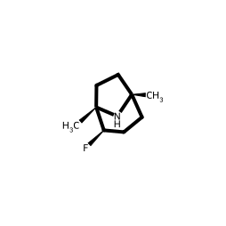 C[C@]12CC[C@@H](F)[C@](C)(CC1)N2